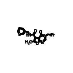 Cc1oc2ncn(CC(C)C)c(=O)c2c1C(=O)NCc1cccnc1